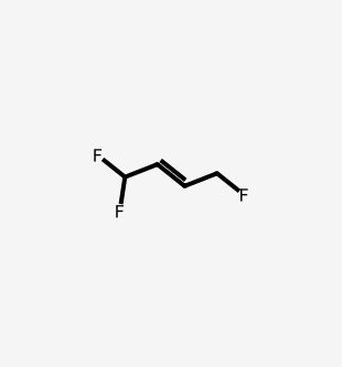 FC/C=C/C(F)F